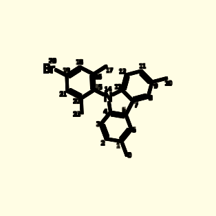 Cc1ccc2c(c1)c1cc(C)ccc1n2-c1c(C)cc(Br)cc1C